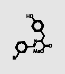 COC(=O)C(Cc1ccc(O)cc1)N=Cc1cccc(Br)c1